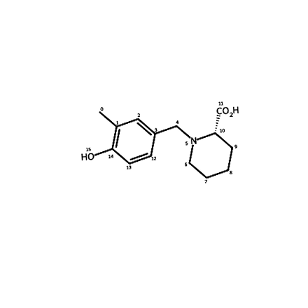 Cc1cc(CN2CCCC[C@H]2C(=O)O)ccc1O